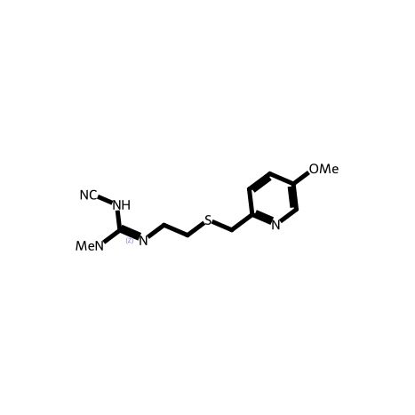 CN/C(=N/CCSCc1ccc(OC)cn1)NC#N